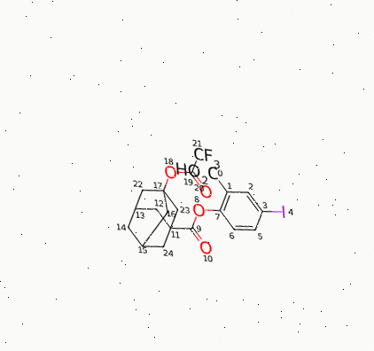 O=C(O)c1cc(I)ccc1OC(=O)C12CC3CC(CC(OC(=O)C(F)(F)F)(C3)C1)C2